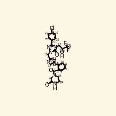 O=C1CN(C(=O)c2ccccc2-n2cnc(Cn3nc(-c4ccc(Cl)cc4)n(CC(O)C(F)(F)F)c3=O)n2)CCN1